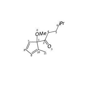 COC1(C(=O)CCC(C)C)C=CC=C1C